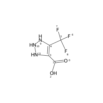 O=C(O)C1=C(C(F)(F)F)NNN1